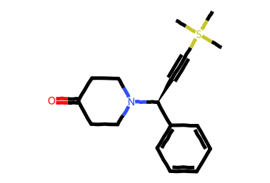 CS(C)(C)C#C[C@@H](c1ccccc1)N1CCC(=O)CC1